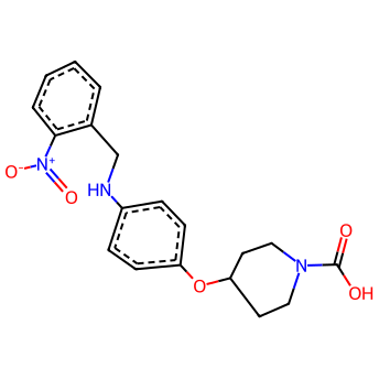 O=C(O)N1CCC(Oc2ccc(NCc3ccccc3[N+](=O)[O-])cc2)CC1